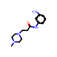 CN1CCN(CCC(=O)Nc2cccc(N)c2)CC1